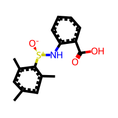 Cc1cc(C)c([S@@+]([O-])Nc2ccccc2C(=O)O)c(C)c1